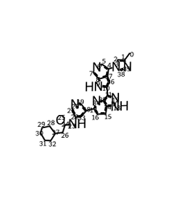 Cc1cn(-c2cncc3[nH]c(-c4n[nH]c5ccc(-c6cncc(NC(=O)CC7CCCCC7)c6)nc45)cc23)cn1